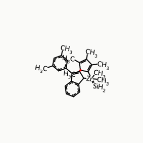 CC1=C(C)C(C)[C]([Zr]([CH3])([CH3])(=[SiH2])[CH]2C=C(c3cc(C)cc(C)c3)c3ccccc32)=C1C